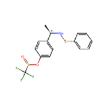 C[C@@H](NSc1ccccc1)c1ccc(OS(=O)C(F)(F)F)cc1